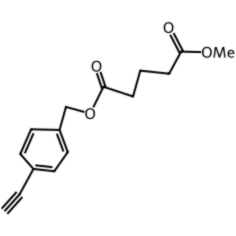 C#Cc1ccc(COC(=O)CCCC(=O)OC)cc1